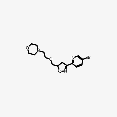 Brc1ccc(C2=NOC(COCCN3CCOCC3)C2)nc1